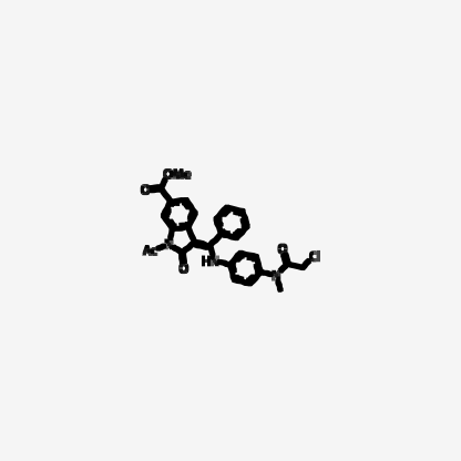 COC(=O)c1ccc2c(c1)N(C(C)=O)C(=O)/C2=C(\Nc1ccc(N(C)C(=O)CCl)cc1)c1ccccc1